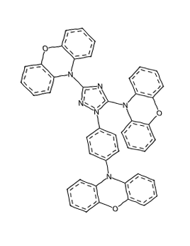 c1ccc2c(c1)Oc1ccccc1N2c1ccc(-n2nc(N3c4ccccc4Oc4ccccc43)nc2N2c3ccccc3Oc3ccccc32)cc1